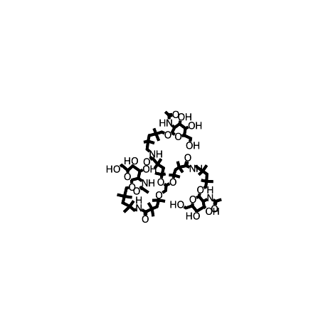 CC(=O)NC1C(OCC(C)(C)CC(C)(C)CNC(=O)C(C)(C)CC(C)(C)OCC(OC(C)(C)CC(C)(C)C(=O)NCC(C)(C)CC(C)(C)COC2OC(CO)C(O)C(O)C2NC(C)=O)OC(C)(C)CC(C)(C)C(=O)NCC(C)(C)CC(C)(C)COC2OC(CO)C(O)C(O)C2NC(C)=O)OC(CO)C(O)C1O